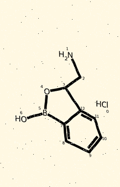 Cl.NCC1OB(O)c2ccccc21